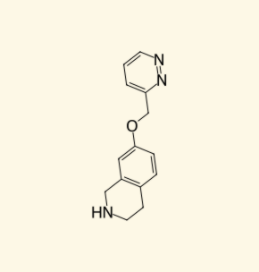 c1cnnc(COc2ccc3c(c2)CNCC3)c1